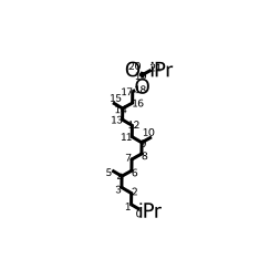 CC(C)CCCC(C)CCCC(C)CCCC(C)CCOC(=O)C(C)C